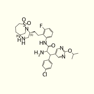 CC(C)Oc1ncc(C(c2ccc(Cl)cc2)C(N)C(=O)Nc2cccc(F)c2CC[C@H]2CN[C@@H]3CCCS(=O)(=O)N2C3)cn1